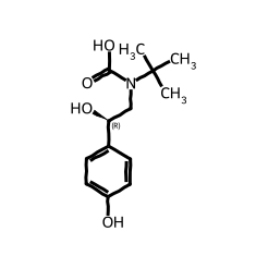 CC(C)(C)N(C[C@H](O)c1ccc(O)cc1)C(=O)O